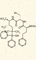 CC(=O)N[C@@H](CCc1ccccc1)C(=O)N[C@@H](CC(C)C)C(=O)N[C@H](C(=O)O)[C@@H](C)CC(C)(C)[Si](O)(c1ccccc1)c1ccccc1